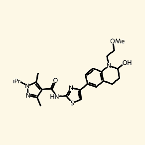 COCCN1c2ccc(-c3csc(NC(=O)c4c(C)nn(C(C)C)c4C)n3)cc2CCC1O